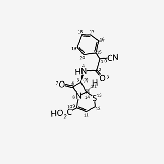 N#CC(C(=O)N[C@@H]1C(=O)N2C(C(=O)O)=CCS[C@H]12)c1ccccc1